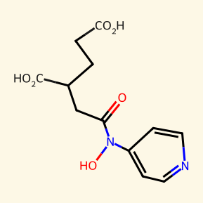 O=C(O)CCC(CC(=O)N(O)c1ccncc1)C(=O)O